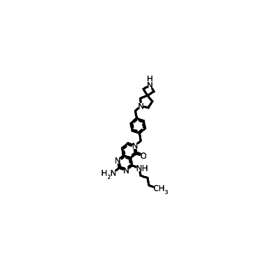 CCCCNc1nc(N)nc2ccn(Cc3ccc(CN4CCC5(CNC5)C4)cc3)c(=O)c12